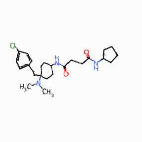 CN(C)C1(Cc2ccc(Cl)cc2)CCC(NC(=O)CCC(=O)NC2CCCC2)CC1